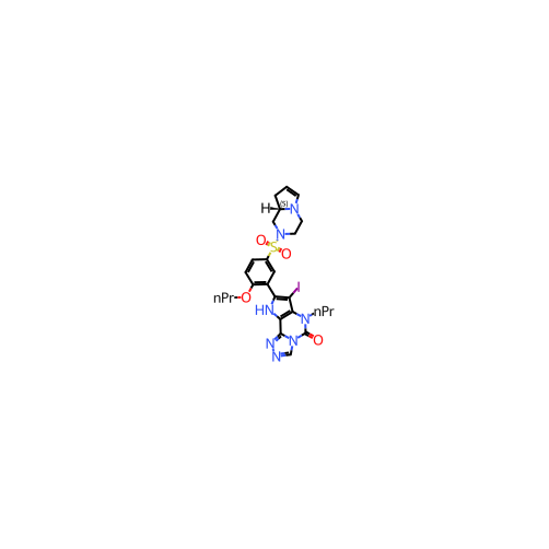 CCCOc1ccc(S(=O)(=O)N2CCN3C=CC[C@H]3C2)cc1-c1[nH]c2c(c1I)n(CCC)c(=O)n1cnnc21